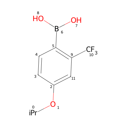 CC(C)Oc1ccc(B(O)O)c(C(F)(F)F)c1